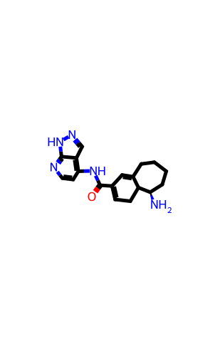 N[C@@H]1CCCCC2=CC(C(=O)Nc3ccnc4[nH]ncc34)=CCC21